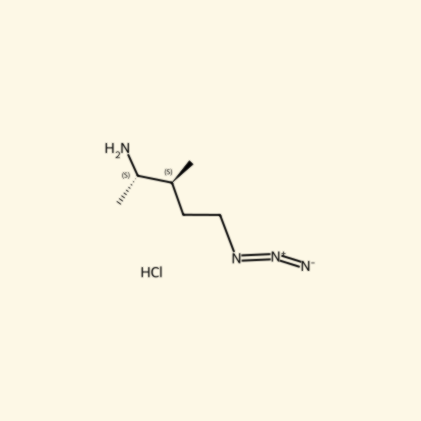 C[C@H](N)[C@@H](C)CCN=[N+]=[N-].Cl